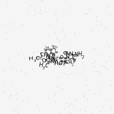 CC(C)OC(=O)[C@@H](C)N[P@@](=O)(OC[C@H]1O[C@@H](n2cc(F)c(N)nc2=O)[C@](C)(F)[C@@H]1O)Oc1cccc2ccccc12